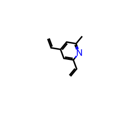 C=Cc1cc(C)nc(C=C)c1